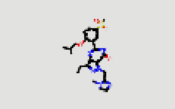 CCc1nn(Cc2nccn2C)c2c(=O)[nH]c(-c3cc(S(C)(=O)=O)ccc3OCC(C)C)nc12